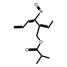 C=C/C=C(N=O)\C(=C/C)COC(=O)C(C)C